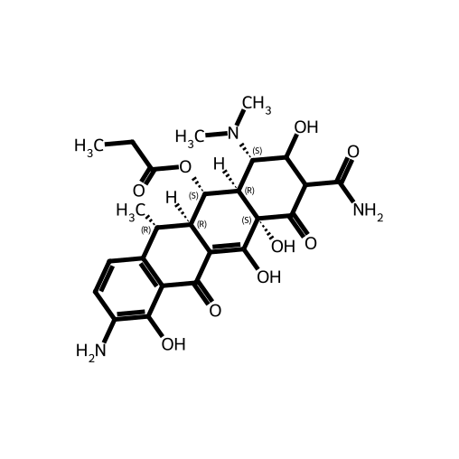 CCC(=O)O[C@H]1[C@H]2C(=C(O)[C@]3(O)C(=O)C(C(N)=O)C(O)[C@@H](N(C)C)[C@H]13)C(=O)c1c(ccc(N)c1O)[C@@H]2C